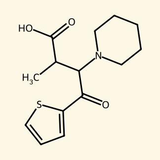 CC(C(=O)O)C(C(=O)c1cccs1)N1CCCCC1